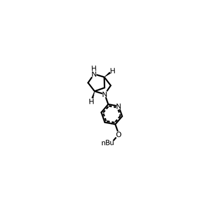 CCCCOc1ccc(N2C[C@@H]3C[C@H]2CN3)nc1